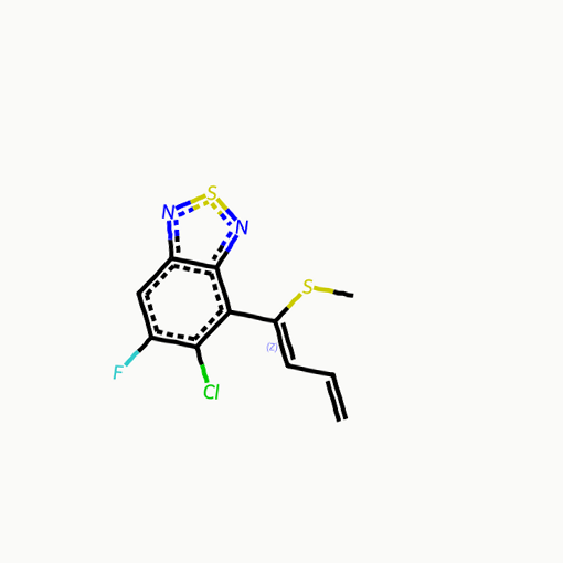 C=C/C=C(\SC)c1c(Cl)c(F)cc2nsnc12